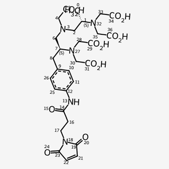 C[C@@H](CN(CC(=O)O)C[C@H](Cc1ccc(NC(=O)CCN2C(=O)C=CC2=O)cc1)N(CC(=O)O)CC(=O)O)N(CC(=O)O)CC(=O)O